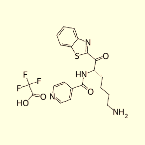 NCCCC[C@H](NC(=O)c1ccncc1)C(=O)c1nc2ccccc2s1.O=C(O)C(F)(F)F